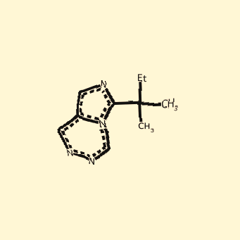 CCC(C)(C)c1ncc2cnncn12